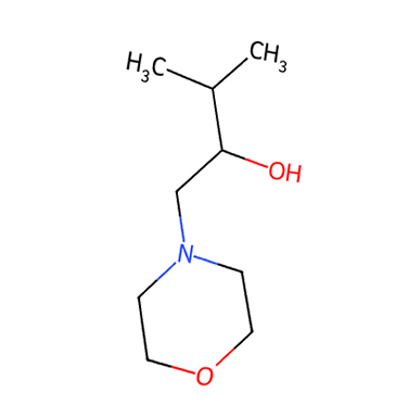 CC(C)C(O)CN1CCOCC1